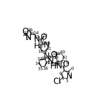 Cc1ncc(Cl)cc1C(=O)NC1(Cn2c(=O)n(-c3ccc(C(=O)NCc4cocn4)nc3)c3ccccc32)CCCCC1